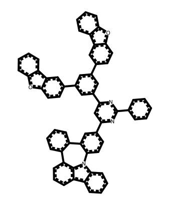 c1ccc(-c2nc(-c3cc(-c4ccc5oc6ccccc6c5c4)cc(-c4ccc5oc6ccccc6c5c4)c3)cc(-c3ccc4c(c3)-c3ccccc3-c3cccc5c6ccccc6n-4c35)n2)cc1